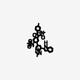 CNC(=O)c1c(-c2ccc(C)cc2)oc2cc(N(C)S(C)(=O)=O)c(-c3cc(-c4cc5ccccc5[nH]4)c4nc(C)cn4c3)cc12